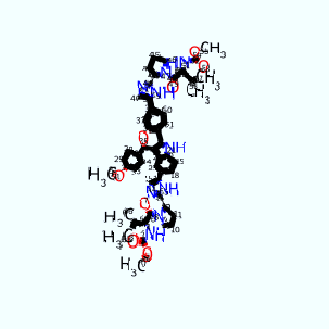 COC(=O)NC(C(=O)N1CCC[C@H]1c1ncc(-c2ccc3[nH]c4c(c3c2)C(c2ccc(OC)cc2)Oc2cc(-c3cnc([C@@H]5CCCN5C(=O)[C@@H](NC(=O)OC)C(C)C)[nH]3)ccc2-4)[nH]1)C(C)C